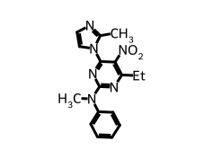 CCc1nc(N(C)c2ccccc2)nc(-n2ccnc2C)c1[N+](=O)[O-]